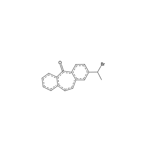 CC(Br)c1ccc2c(=O)c3ccccc3ccc2c1